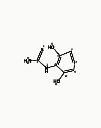 NC(=S)Nc1c(O)cccc1O